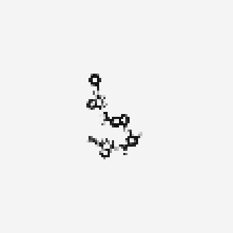 CC(C)(C)OC(=O)N1CCC[C@H]1C(=O)OCC(=O)c1ccc(Br)c(COc2cccc3cc(C(=O)COC(=O)C4CCCN4C(=O)OCc4ccccc4)ccc23)c1